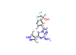 Cc1ccc(C(C)(O)C(F)F)cc1-c1cnc2c(N)nc(-c3c(C)n[nH]c3C)cn12